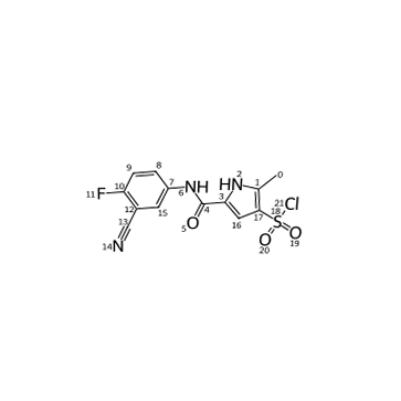 Cc1[nH]c(C(=O)Nc2ccc(F)c(C#N)c2)cc1S(=O)(=O)Cl